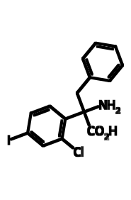 NC(Cc1ccccc1)(C(=O)O)c1ccc(I)cc1Cl